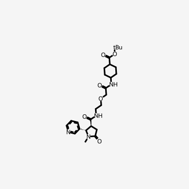 CN1C(=O)C[C@H](C(=O)NCCOCC(=O)NC2CCC(C(=O)OC(C)(C)C)CC2)[C@H]1c1cccnc1